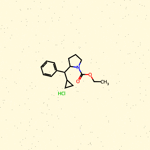 CCOC(=O)N1CCCC1C(c1ccccc1)C1CC1.Cl